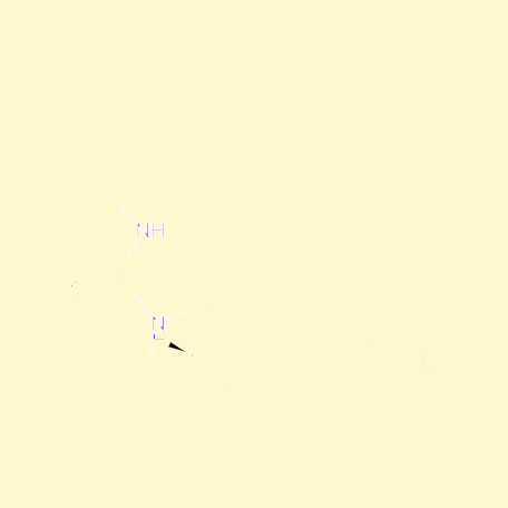 C=CCNC(=S)N1CCC2c3cc(Cl)ccc3C1[C@H]2C